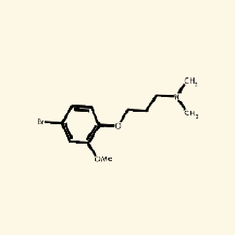 COc1cc(Br)ccc1OCCCN(C)C